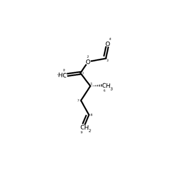 [CH]=C(OC=O)[C@H](C)CC=C